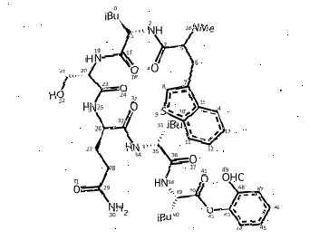 CC[C@H](C)[C@H](NC(=O)C(Cc1csc2ccccc12)NC)C(=O)N[C@@H](CO)C(=O)N[C@H](CCC(N)=O)C(=O)N[C@@H](C(=O)N[C@H](C(=O)Oc1ccccc1C=O)[C@@H](C)CC)[C@@H](C)CC